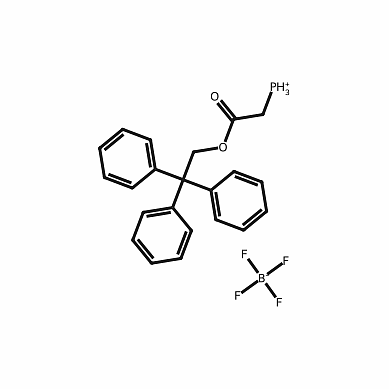 F[B-](F)(F)F.O=C(C[PH3+])OCC(c1ccccc1)(c1ccccc1)c1ccccc1